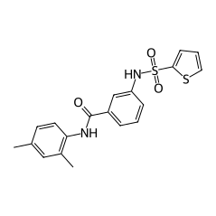 Cc1ccc(NC(=O)c2cccc(NS(=O)(=O)c3cccs3)c2)c(C)c1